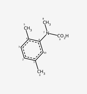 Cc1ccc(C)c(N(C)C(=O)O)c1